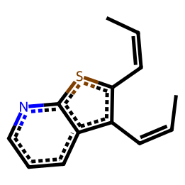 C/C=C\c1sc2ncccc2c1/C=C\C